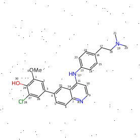 COc1cc(-c2ccc3nc[c]c(Nc4ccc(CCN(C)C)cc4)c3c2)cc(Cl)c1O